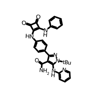 CC(C)(C)n1nc(-c2ccc(Nc3c(Nc4ccccc4)c(=O)c3=O)cc2)c(C(N)=O)c1Nc1ccccn1